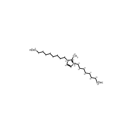 CCCCCCCCCCCCCCCCCCn1cc[n+](CCCCCCCCCCCCCCCCC)c1C